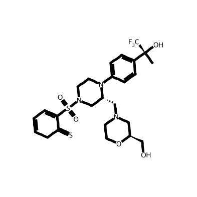 C[C@@](O)(c1ccc(N2CCN(S(=O)(=O)C3=CC=CCC3=S)C[C@H]2CN2CCO[C@H](CO)C2)cc1)C(F)(F)F